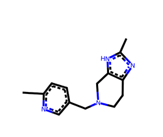 Cc1ccc(CN2CCc3nc(C)[nH]c3C2)cn1